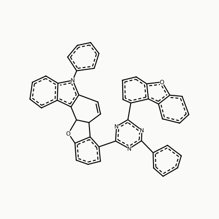 C1=CC2c3c(cccc3-c3nc(-c4ccccc4)nc(-c4cccc5oc6ccccc6c45)n3)OC2c2c1n(-c1ccccc1)c1ccccc21